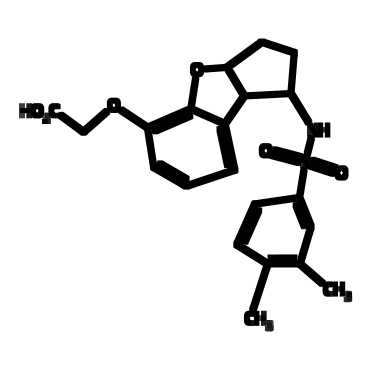 Cc1ccc(S(=O)(=O)NC2CCC3Oc4c(OCC(=O)O)cccc4C23)cc1C